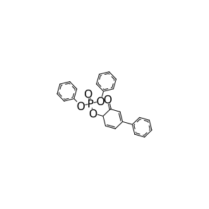 O=C1C=C(c2ccccc2)C=CC1OP(=O)(Oc1ccccc1)Oc1ccccc1